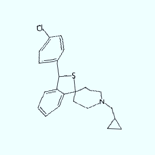 Clc1ccc(C2SC3(CCN(CC4CC4)CC3)c3ccccc32)cc1